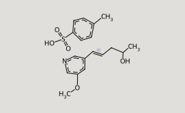 COc1cncc(/C=C/CC(C)O)c1.Cc1ccc(S(=O)(=O)O)cc1